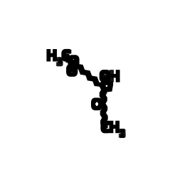 CCCCCC(=O)CC=C1CC[C@H](O)[C@@H]1CCCCCCC(=O)OCC